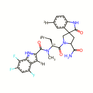 [2H]c1ccc2c(c1)C1(CC(C(N)=O)N(C(=O)[C@H](CC(C)C)N(C)C(=O)c3[nH]c4c(F)c(F)cc(F)c4c3[2H])C1)C(=O)N2